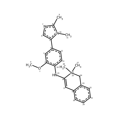 COc1cc(-c2cnc(C)n2C)ccc1NC1=Cc2ccccc2C[N+]1(C)C